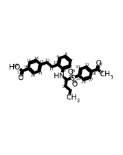 CCCC(Nc1ccccc1CCc1ccc(C(=O)O)cc1)S(=O)(=O)c1ccc(C(C)=O)cc1